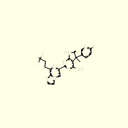 CCc1ccc(C2(C)C(=O)Nc3nc(-c4cn5ccnc5c(CCC(F)(F)C(F)(F)F)n4)nc(N)c32)cn1